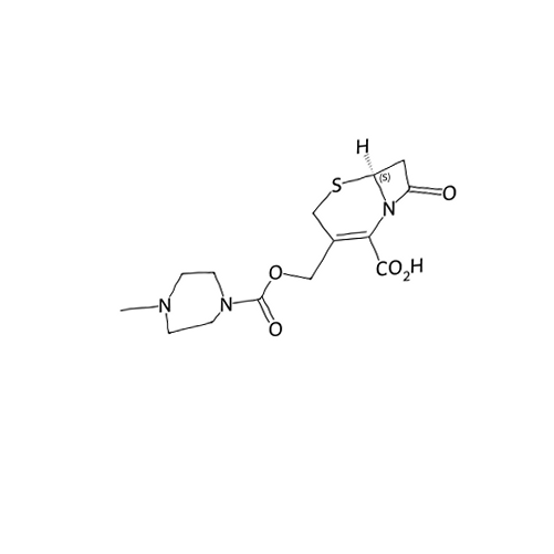 CN1CCN(C(=O)OCC2=C(C(=O)O)N3C(=O)C[C@@H]3SC2)CC1